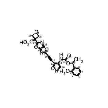 Cc1ccccc1C(C)OC(=O)Nc1cnoc1C#Cc1nc2oc(C3(C(=O)O)COC3)nc2o1